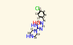 N=C(/N=C\N(O)Cc1ccc(Cl)cc1)N1CCNCC1